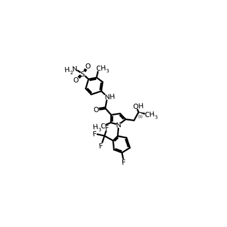 Cc1cc(NC(=O)c2cc(C[C@H](C)O)n(-c3ccc(F)cc3C(F)(F)F)c2C)ccc1S(N)(=O)=O